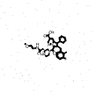 COCCNC(=O)C[C@H]1CN(C(=O)c2c(Cc3cccc(F)c3C)c(-c3ccccc3)c3cc(C(=O)O)cnn23)CCN1